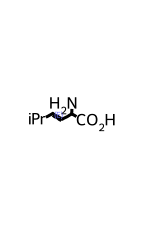 CC(C)/C=C/C(N)C(=O)O